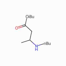 CCCCNC(C)CC(=O)OCC(C)C